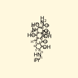 CC(C)CNCc1ccc2c(c1O)C(=O)C1=C(O)C3(O)C(=O)C(C(N)=O)=C(O)C(N(C)C)C3C(O)C1C2C